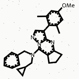 COc1cc(C)c(-c2cnn3c(N(Cc4ccccc4)CC4CC4)c4c(nc23)CCC4)c(C)c1